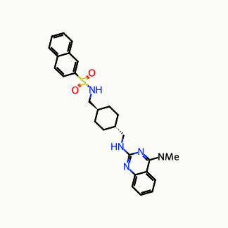 CNc1nc(NC[C@H]2CC[C@H](CNS(=O)(=O)c3ccc4ccccc4c3)CC2)nc2ccccc12